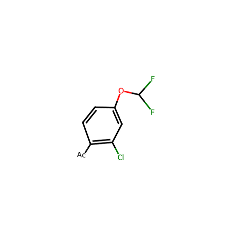 CC(=O)c1ccc(OC(F)F)cc1Cl